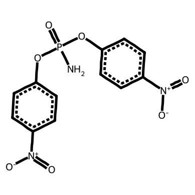 NP(=O)(Oc1ccc([N+](=O)[O-])cc1)Oc1ccc([N+](=O)[O-])cc1